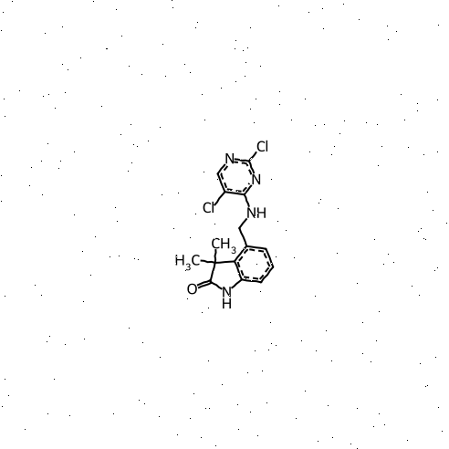 CC1(C)C(=O)Nc2cccc(CNc3nc(Cl)ncc3Cl)c21